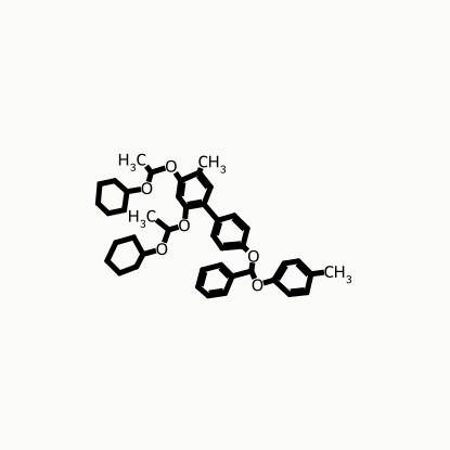 Cc1ccc(OC(Oc2ccc(-c3cc(C)c(OC(C)OC4CCCCC4)cc3OC(C)OC3CCCCC3)cc2)c2ccccc2)cc1